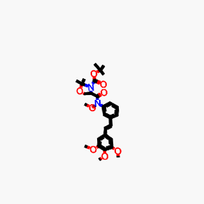 COc1cc(C=Cc2cccc(N(OC)C(=O)C3COC(C)(C)N3C(=O)OC(C)(C)C)c2)cc(OC)c1OC